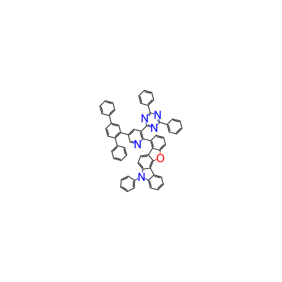 c1ccc(-c2ccc(-c3ccccc3)c(-c3cnc(-c4cccc5oc6c(ccc7c6c6ccccc6n7-c6ccccc6)c45)c(-c4nc(-c5ccccc5)nc(-c5ccccc5)n4)c3)c2)cc1